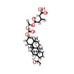 CC(=O)[C@H]1CC[C@H]2[C@@H]3CC[C@H]4C[C@H](OC(=O)OC(C)OC(=O)CC(C)CC(=O)O)CC[C@]4(C)[C@H]3CC[C@]12C